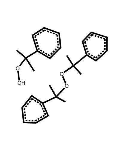 CC(C)(OO)c1ccccc1.CC(C)(OOC(C)(C)c1ccccc1)c1ccccc1